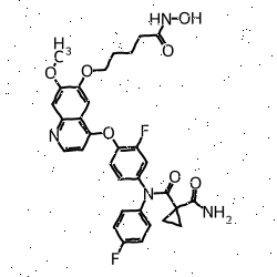 COc1cc2nccc(Oc3ccc(N(C(=O)C4(C(N)=O)CC4)c4ccc(F)cc4)cc3F)c2cc1OCCCCC(=O)NO